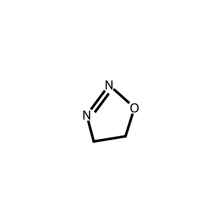 C1CON=N1